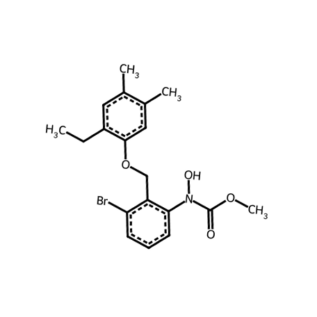 CCc1cc(C)c(C)cc1OCc1c(Br)cccc1N(O)C(=O)OC